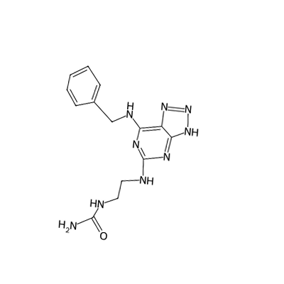 NC(=O)NCCNc1nc(NCc2ccccc2)c2nn[nH]c2n1